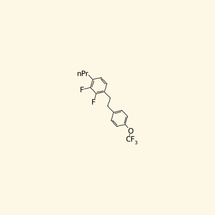 CCCc1ccc(CCc2ccc(OC(F)(F)F)cc2)c(F)c1F